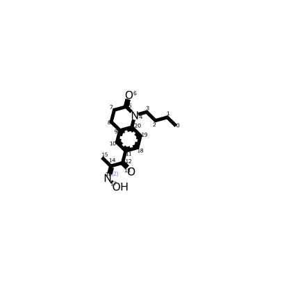 CCCCN1C(=O)CCc2cc(C(=O)/C(C)=N\O)ccc21